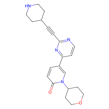 O=c1ccc(-c2ccnc(C#CC3CCNCC3)n2)cn1C1CCOCC1